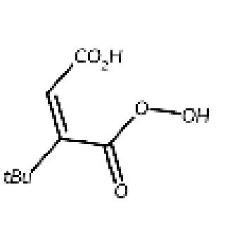 CC(C)(C)/C(=C/C(=O)O)C(=O)OO